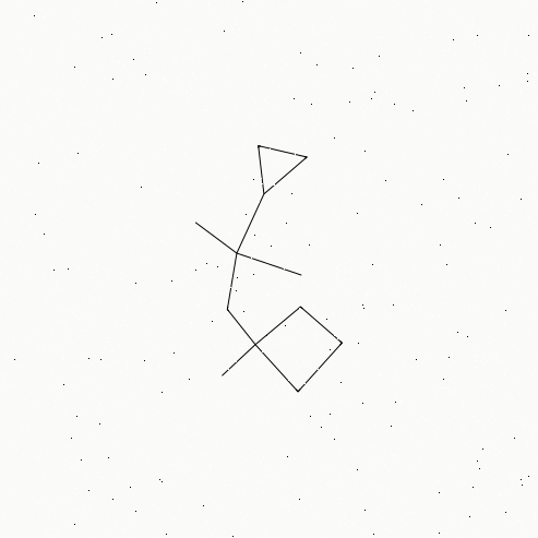 CC1(CC(C)(C)C2CC2)CCC1